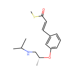 CSC(=O)/C=C/c1cccc(O[C@H](C)CNC(C)C)c1